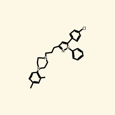 Cc1ccc(N2CCN(CCCc3cc(-c4ccc(Cl)cc4)n(-c4ccccc4)n3)CC2)c(C)c1